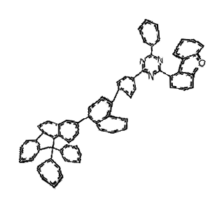 c1ccc(-c2nc(-c3ccc(-c4ccc(-c5ccc6c7c(ccc6c5)-c5ccccc5C7(c5ccccc5)c5ccccc5)c5ccccc45)cc3)nc(-c3cccc4oc5ccccc5c34)n2)cc1